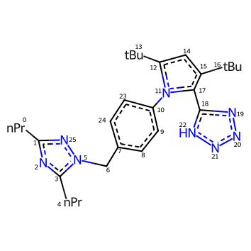 CCCc1nc(CCC)n(Cc2ccc(-n3c(C(C)(C)C)cc(C(C)(C)C)c3-c3nnn[nH]3)cc2)n1